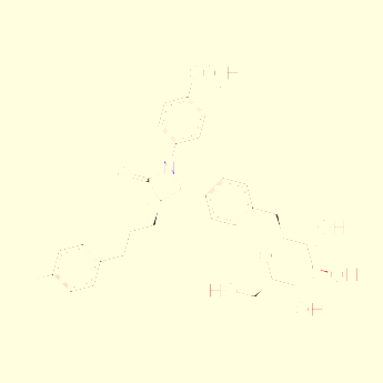 O=C(O)c1ccc(N2C(=O)[C@H](CCCc3ccc(F)cc3)[C@H]2c2ccc(C[C@@H]3O[C@H](CO)[C@@H](O)[C@H](O)[C@H]3O)cc2)cc1